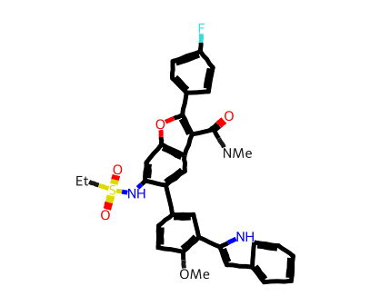 CCS(=O)(=O)Nc1cc2oc(-c3ccc(F)cc3)c(C(=O)NC)c2cc1-c1ccc(OC)c(-c2cc3ccccc3[nH]2)c1